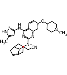 Cc1cc(Nc2nc(NC3CC4=CCC(C3)N4CCC#N)nc3cc(OC4CCN(C)CC4)ccc23)n[nH]1